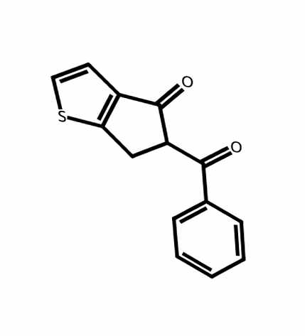 O=C(c1ccccc1)C1Cc2sccc2C1=O